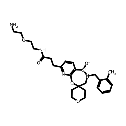 Cc1ccccc1CN1CC2(CCOCC2)Oc2nc(CCC(=O)NCCOCCN)ccc2[S+]1[O-]